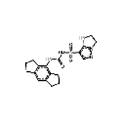 O=C(Nc1c2c(cc3c1CCC3)CCC2)NS(=O)(=O)c1cnn2c1NCC2